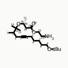 CC(CC#CCCCCCOC(C)(C)C)C(C)(C)O[C@H](C)CC(=O)OCCN